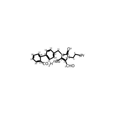 CCCCc1c(C=O)n(CCC(C)C)c(=O)n1Cc1ccc(-c2ccccc2C(=O)O)cc1